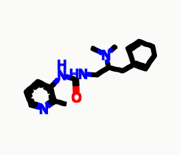 Cc1ncccc1NC(=O)NCC(CC1=CCCC=C1)N(C)C